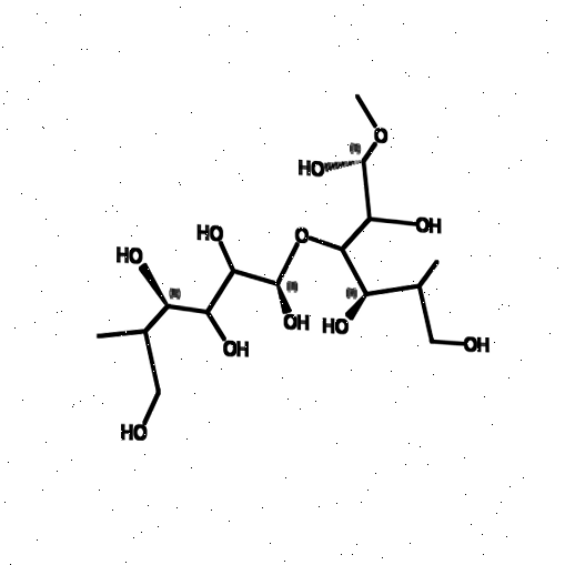 CO[C@@H](O)C(O)C(O[C@@H](O)C(O)C(O)[C@H](O)C(C)CO)[C@H](O)C(C)CO